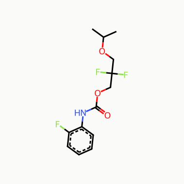 CC(C)OCC(F)(F)COC(=O)Nc1ccccc1F